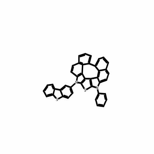 c1ccc(-n2c3ccc4cccc5c6cccc7ccc8c(c76)c6c(c3c45)c2sc6n8-c2ccc3sc4ccccc4c3c2)cc1